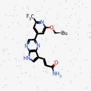 CC[C@H](C)COc1cc(-c2cnc3[nH]cc(C=CC(N)=O)c3n2)cc(C(F)(F)F)n1